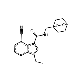 CCn1cc(C(=O)NCC23CCC(CC2)CC3)c2c(C#N)cccc21